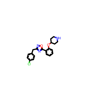 Clc1ccc(Cc2noc(-c3ccccc3OC3CCNCC3)n2)cc1